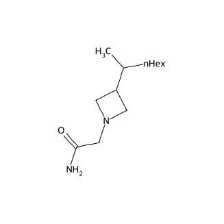 CCCCCCC(C)C1CN(CC(N)=O)C1